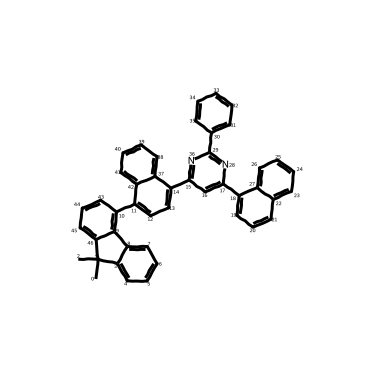 CC1(C)c2ccccc2-c2c(-c3ccc(-c4cc(-c5cccc6ccccc56)nc(-c5ccccc5)n4)c4ccccc34)cccc21